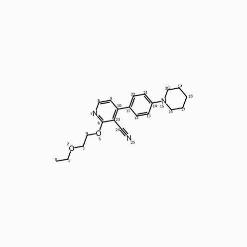 CCOCCOc1nccc(-c2ccc(N3CCCCC3)cc2)c1C#N